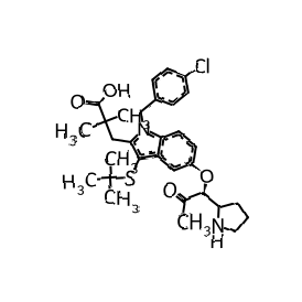 CC(=O)[C@@H](Oc1ccc2c(c1)c(SC(C)(C)C)c(CC(C)(C)C(=O)O)n2Cc1ccc(Cl)cc1)C1CCCN1